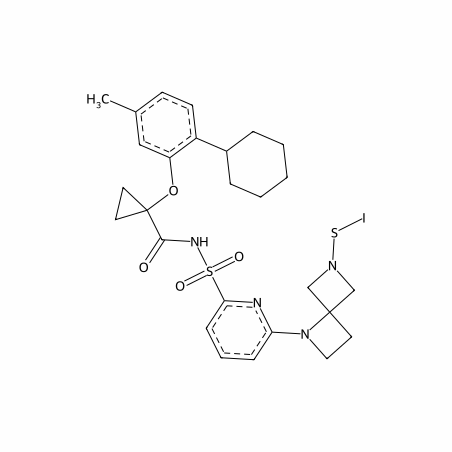 Cc1ccc(C2CCCCC2)c(OC2(C(=O)NS(=O)(=O)c3cccc(N4CCC45CN(SI)C5)n3)CC2)c1